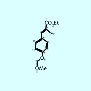 CCOC(=O)C(F)=Cc1ccc(OCOC)cc1